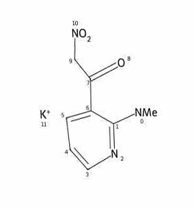 CNc1ncccc1C(=O)C[N+](=O)[O-].[K+]